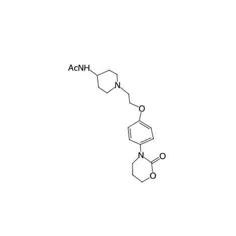 CC(=O)NC1CCN(CCOc2ccc(N3CCCOC3=O)cc2)CC1